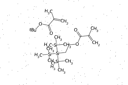 C=C(C)C(=O)OC(C)(C)C.C=C(C)C(=O)OCC[Si]([Si](C)(C)C)([Si](C)(C)C)[Si](C)(C)C